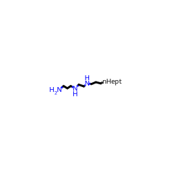 [CH2]CCCCCCCCCNCCNCCCN